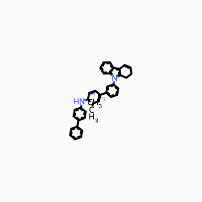 CC/C=C(\C=C/C(C)Nc1ccc(-c2ccccc2)cc1)c1cccc(-n2c3c(c4ccccc42)C=CCC3)c1